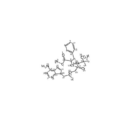 CC(C)OC(=O)C(Cc1ccccc1)OP(=O)(COC(C)Cn1cnc2c(N)ncnc21)NC(C)(C)C(=O)O